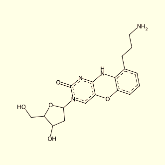 NCCCc1cccc2c1Nc1nc(=O)n(C3CC(O)C(CO)O3)cc1O2